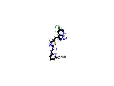 COc1cccc(CNc2ncc(Cc3c[nH]c4ncc(Cl)cc34)s2)n1